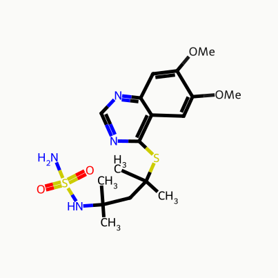 COc1cc2ncnc(SC(C)(C)CC(C)(C)NS(N)(=O)=O)c2cc1OC